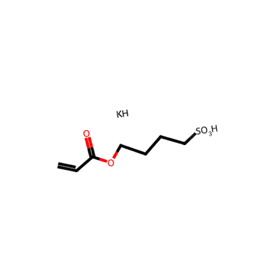 C=CC(=O)OCCCCS(=O)(=O)O.[KH]